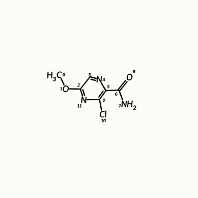 COc1cnc(C(N)=O)c(Cl)n1